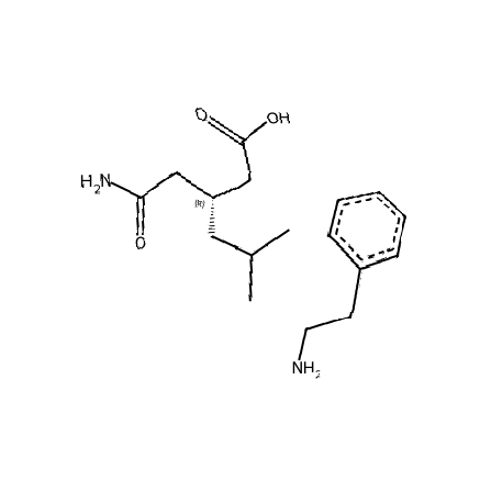 CC(C)C[C@H](CC(N)=O)CC(=O)O.NCCc1ccccc1